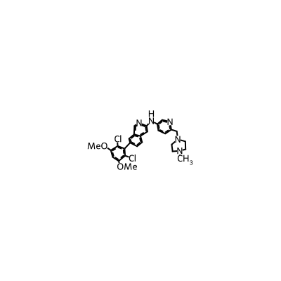 COc1cc(OC)c(Cl)c(-c2ccc3cc(Nc4ccc(CN5CCN(C)CC5)nc4)ncc3c2)c1Cl